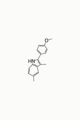 COc1ccc(-c2[nH]c3ccc(C)cc3c2C)cc1